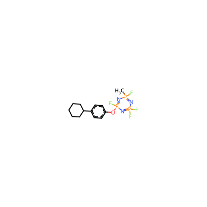 CP1(F)=NP(F)(F)=NP(F)(Oc2ccc(C3CCCCC3)cc2)=N1